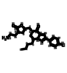 CCCCC1CN(CC2CN(CCN)C(=O)O2)C(=O)c2cc(-c3ccc(Cl)cc3)nn21